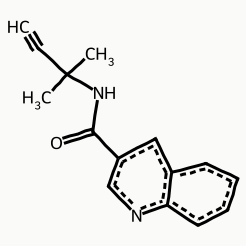 C#CC(C)(C)NC(=O)c1cnc2ccccc2c1